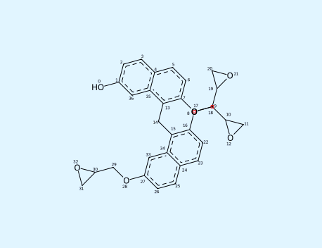 Oc1ccc2ccc(OCC3CO3)c(Cc3c(OCC4CO4)ccc4ccc(OCC5CO5)cc34)c2c1